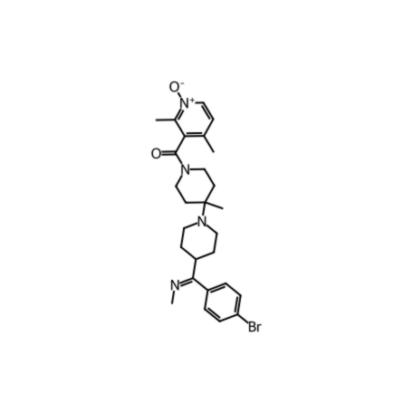 C/N=C(\c1ccc(Br)cc1)C1CCN(C2(C)CCN(C(=O)c3c(C)cc[n+]([O-])c3C)CC2)CC1